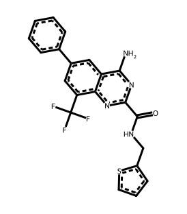 Nc1nc(C(=O)NCc2cccs2)nc2c(C(F)(F)F)cc(-c3ccccc3)cc12